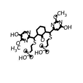 COc1nc(O)cc(C(SCCS(=O)(=O)O)C2CCCC(C(SCCS(=O)(=O)O)c3ncc(O)c(OC)n3)C2=O)n1